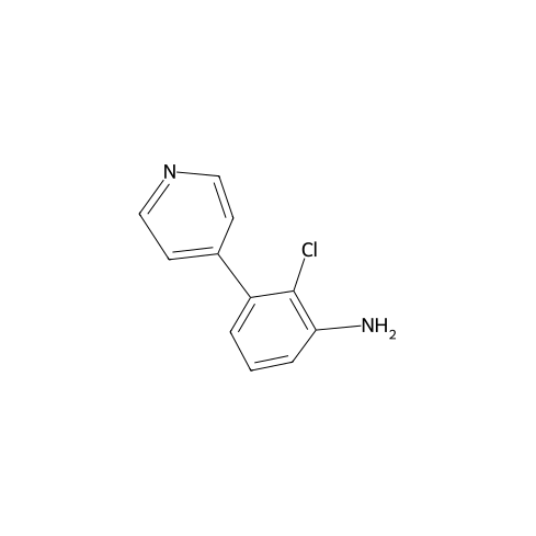 Nc1cccc(-c2ccncc2)c1Cl